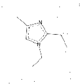 CCc1nc(C)cn1CC